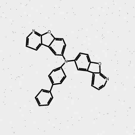 c1ccc(-c2ccc(N(c3ccc4oc5ncccc5c4c3)c3ccc4oc5ncccc5c4c3)cc2)cc1